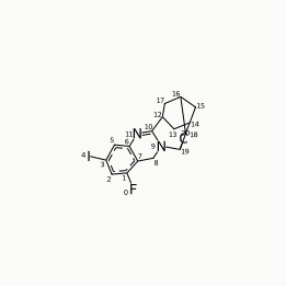 Fc1cc(I)cc2c1CN1C(=N2)C2CC3CC(C2)CC1C3